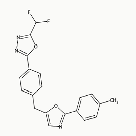 Cc1ccc(-c2ncc(Cc3ccc(-c4nnc(C(F)F)o4)cc3)o2)cc1